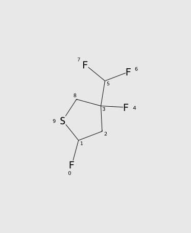 FC1CC(F)(C(F)F)CS1